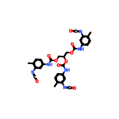 Cc1ccc(NC(=O)OCC(COC(=O)Nc2ccc(C)c(N=C=O)c2)OC(=O)Nc2ccc(C)c(N=C=O)c2)cc1N=C=O